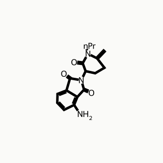 C=C1CCC(N2C(=O)c3cccc(N)c3C2=O)C(=O)N1CCC